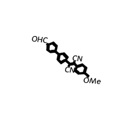 COCc1ccc(/C(C#N)=C(\C#N)c2ccc(-c3ccc(C=O)cc3)cc2)cc1